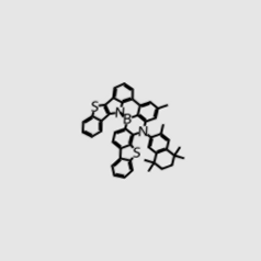 Cc1cc2c3c(c1)N(c1cc4c(cc1C)C(C)(C)CCC4(C)C)c1c(ccc4c1sc1ccccc14)B3n1c3c-2cccc3c2sc3ccccc3c21